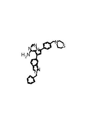 Nc1ncnn2c(-c3ccc(CN4CCSCC4)cc3)cc(-c3ccc4cn(Cc5ccccc5)nc4c3)c12